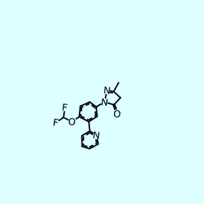 CC1=NN(c2ccc(OC(F)F)c(-c3ccccn3)c2)C(=O)C1